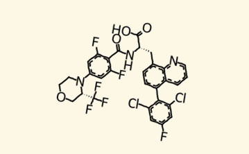 O=C(N[C@@H](Cc1ccc(-c2c(Cl)cc(F)cc2Cl)c2cccnc12)C(=O)O)c1c(F)cc(N2CCOC[C@H]2C(F)(F)F)cc1F